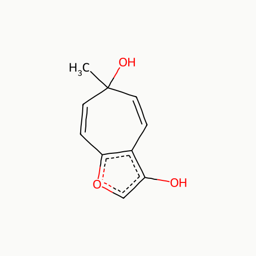 CC1(O)C=Cc2occ(O)c2C=C1